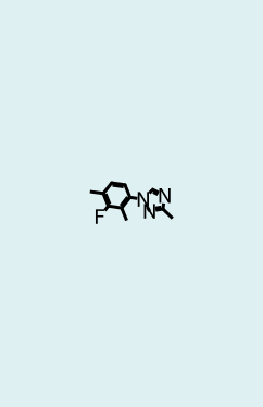 Cc1ncn(-c2ccc(C)c(F)c2C)n1